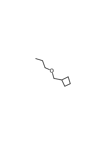 CCCOC[C]1CCC1